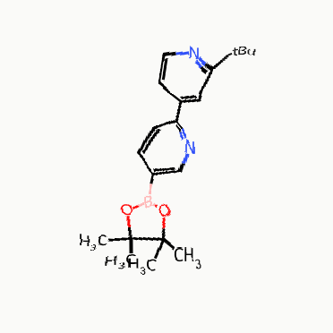 CC(C)(C)c1cc(-c2ccc(B3OC(C)(C)C(C)(C)O3)cn2)ccn1